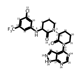 O=C1[C@H](N2CCCC(Nc3cc(Cl)cc(C(F)(F)F)c3)C2=O)CCCN1c1ncnc2[nH]ncc12